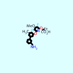 CCC(Oc1nc(Oc2cc(C)cc(-c3cccc(CN)c3)c2)c(F)c(OC)c1F)C(=O)O